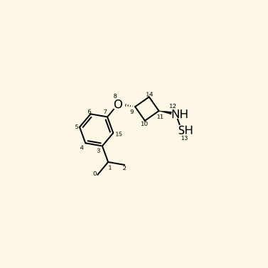 CC(C)c1cccc(O[C@H]2C[C@H](NS)C2)c1